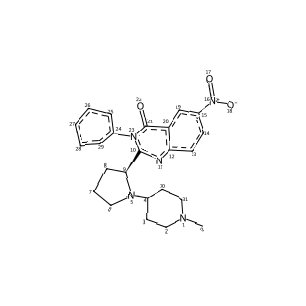 CN1CCC(N2CCC[C@H]2c2nc3ccc([N+](=O)[O-])cc3c(=O)n2-c2ccccc2)CC1